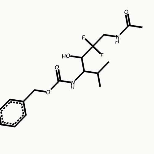 CC(=O)NCC(F)(F)C(O)C(NC(=O)OCc1ccccc1)C(C)C